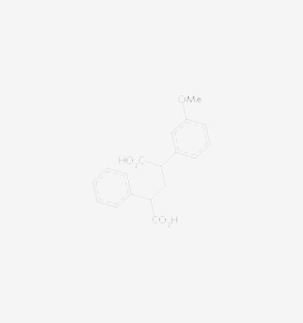 COc1cccc(C(CC(C(=O)O)c2ccccc2)C(=O)O)c1